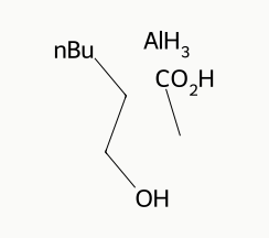 CC(=O)O.CCCCCCO.[AlH3]